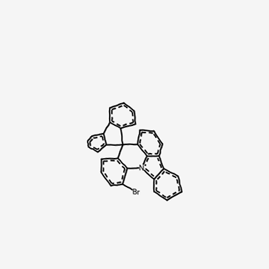 Brc1cccc2c1-n1c3ccccc3c3cccc(c31)C21c2ccccc2-c2ccccc21